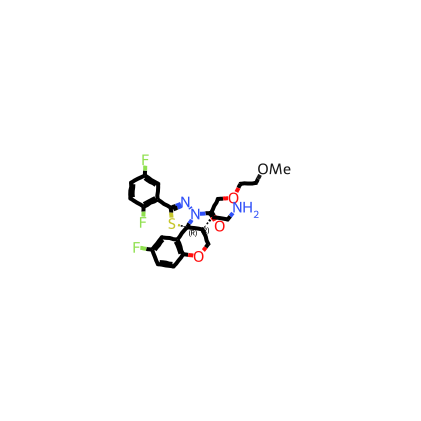 COCCOCC(=O)N1N=C(c2cc(F)ccc2F)S[C@]12c1cc(F)ccc1OC[C@H]2CCN